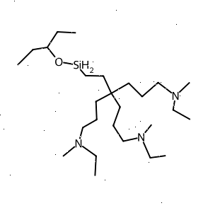 CCC(CC)O[SiH2]CCC(CCCN(C)CC)(CCCN(C)CC)CCCN(C)CC